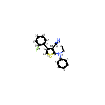 CCN(c1ccccc1)c1scc(-c2ccccc2F)c1C#N